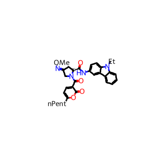 CCCCCc1ccc(C(=O)N2CC(=NOC)C[C@H]2C(=O)Nc2ccc3c(c2)c2ccccc2n3CC)c(=O)o1